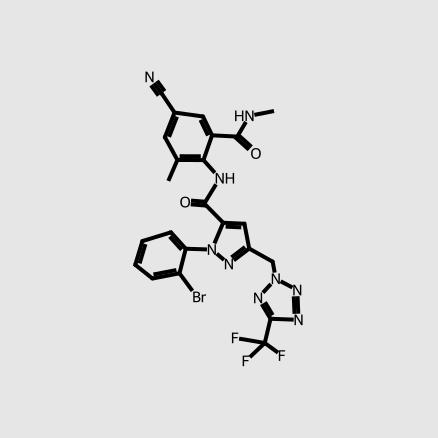 CNC(=O)c1cc(C#N)cc(C)c1NC(=O)c1cc(Cn2nnc(C(F)(F)F)n2)nn1-c1ccccc1Br